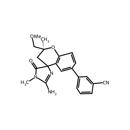 COC[C@]1(C)CC2(N=C(N)N(C)C2=O)c2cc(-c3cccc(C#N)c3)ccc2O1